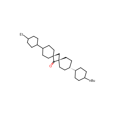 CCCCC1CCC([C@H]2CC[C@]3(CC2)C[C@@]2(CCC(C4CCC(CC)CC4)CC2)C3=O)CC1